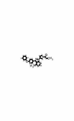 C=CC(=O)n1ccc(-n2nc(-c3ccc(Oc4ccccc4)nc3)c3c(N)ncnc32)c1